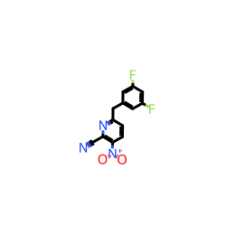 N#Cc1nc(Cc2cc(F)cc(F)c2)ccc1[N+](=O)[O-]